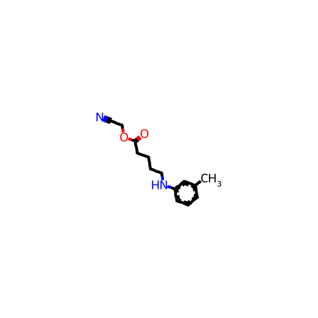 Cc1cccc(NCCCCC(=O)OCC#N)c1